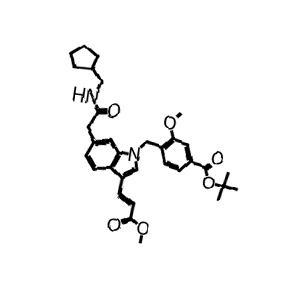 COC(=O)C=Cc1cn(Cc2ccc(C(=O)OC(C)(C)C)cc2OC)c2cc(CC(=O)NCC3CCCC3)ccc12